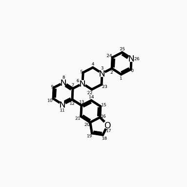 c1cc(N2CCN(c3nccnc3-c3ccc4occc4c3)CC2)ccn1